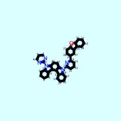 c1cnc(-n2c3ccccc3c3c4c5ccccc5n(-c5cccc(-c6ccc7oc8ccccc8c7c6)n5)c4ccc32)nc1